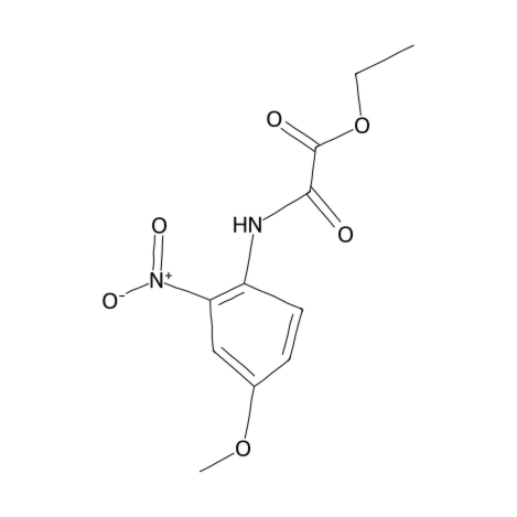 CCOC(=O)C(=O)Nc1ccc(OC)cc1[N+](=O)[O-]